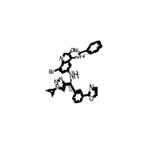 CC[C@@H](Nc1c(C#N)cnc2c(Br)cc(N[C@@H](c3cccc(-c4ncco4)c3)c3cn(C4CC4)nn3)cc12)c1ccccc1